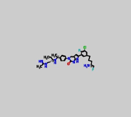 C=C[C@@H](CCNC(C)=N)N[C@@H](C)c1ccc(-n2cc3cc(-c4cc(CCC[C@@H](N)CF)cc(Cl)c4F)[nH]c3nc2=O)cc1